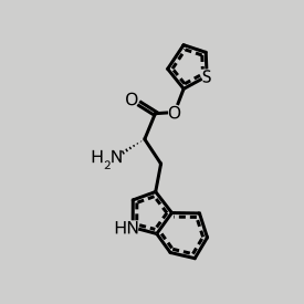 N[C@@H](Cc1c[nH]c2ccccc12)C(=O)Oc1cccs1